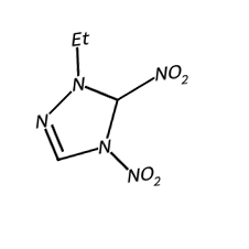 CCN1N=CN([N+](=O)[O-])C1[N+](=O)[O-]